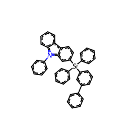 c1ccc(-c2cccc([Si](c3ccccc3)(c3ccccc3)c3ccc4c5ccccc5n(-c5ccccc5)c4c3)c2)cc1